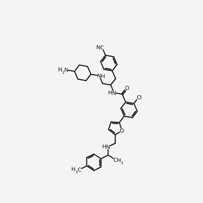 Cc1ccc(C(C)NCc2ccc(-c3ccc(Cl)c(C(=O)NC(CNC4CCC(N)CC4)Cc4ccc(C#N)cc4)c3)o2)cc1